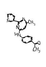 CC(=O)c1ccc(Nc2cc(C)nc(-c3cccnc3)n2)cc1